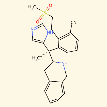 C[C@](c1cnc[nH]1)(c1cccc(C#N)c1CCS(C)(=O)=O)C1Cc2ccccc2CN1